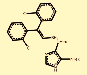 BC=C(c1ccccc1Cl)c1ccccc1Cl.CCCCCCc1nc[nH]c1CCCCCC